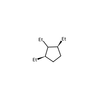 CCC1[C@H](CC)CC[C@@H]1CC